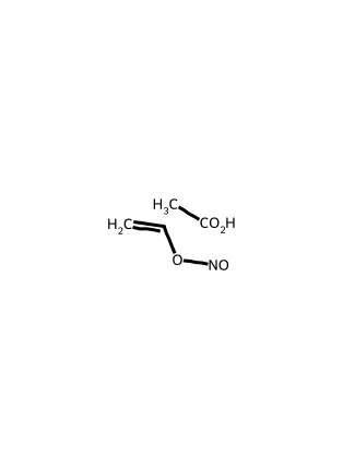 C=CON=O.CC(=O)O